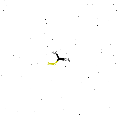 C=C(C)S[S]